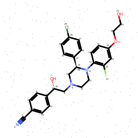 N#Cc1ccc([C@H](O)CN2CCN(c3ccc(OCCO)cc3F)[C@H](c3ccc(Cl)cc3)C2)cc1